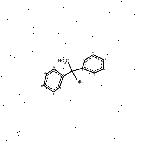 CCCCC(C(=O)O)(c1ccccc1)c1ccccc1